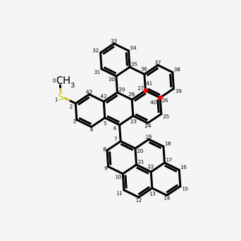 CSc1ccc2c(-c3ccc4ccc5cccc6ccc3c4c56)c3ccccc3c(-c3ccccc3-c3ccccc3)c2c1